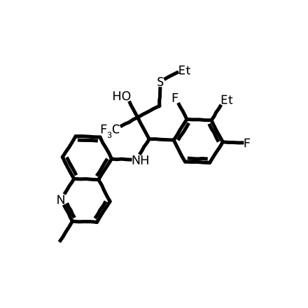 CCSCC(O)(C(Nc1cccc2nc(C)ccc12)c1ccc(F)c(CC)c1F)C(F)(F)F